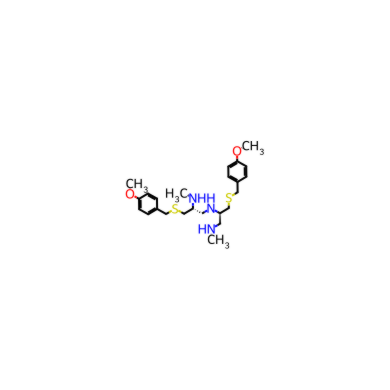 CNC[C@H](CSCc1ccc(OC)cc1)NC[C@H](CSCc1ccc(OC)cc1)NC